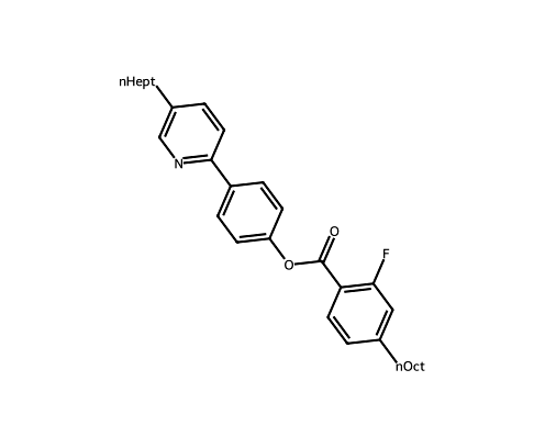 CCCCCCCCc1ccc(C(=O)Oc2ccc(-c3ccc(CCCCCCC)cn3)cc2)c(F)c1